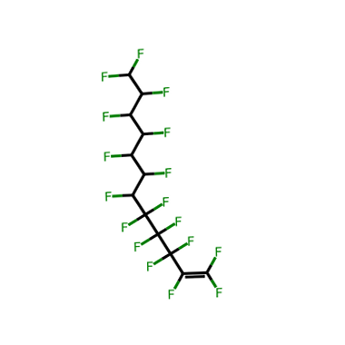 FC(F)=C(F)C(F)(F)C(F)(F)C(F)(F)C(F)C(F)C(F)C(F)C(F)C(F)C(F)F